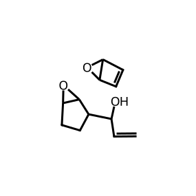 C1=CC2OC12.C=CC(O)C1CCC2OC21